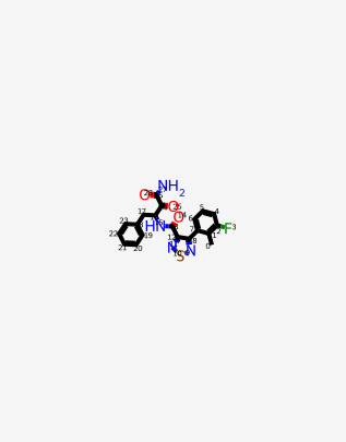 Cc1c(F)cccc1-c1nsnc1C(=O)NC(Cc1ccccc1)C(=O)C(N)=O